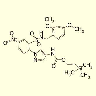 COc1ccc(CNS(=O)(=O)c2cc([N+](=O)[O-])ccc2-n2cc(NC(=O)OCC[Si](C)(C)C)cn2)c(OC)c1